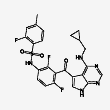 Cc1ccc(S(=O)(=O)Nc2ccc(F)c(C(=O)c3c[nH]c4ncnc(NCC5CC5)c34)c2F)c(F)c1